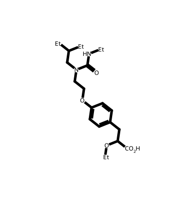 CCNC(=O)N(CCOc1ccc(CC(OCC)C(=O)O)cc1)CC(CC)CC